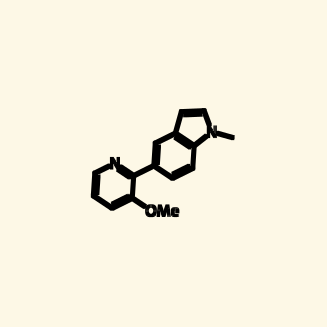 COc1cccnc1-c1ccc2c(ccn2C)c1